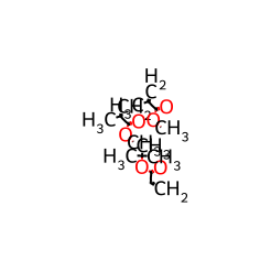 C=C(C)C(=O)OC.C=C(C)C(=O)OC.C=CC(=O)OC(C)(C)C